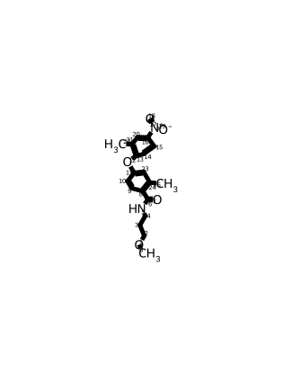 COCCCNC(=O)c1ccc(Oc2ccc([N+](=O)[O-])cc2C)cc1C